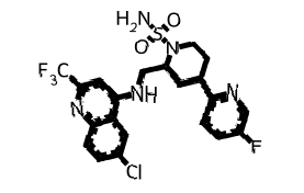 NS(=O)(=O)N1CCC(c2ccc(F)cn2)CC1CNc1cc(C(F)(F)F)nc2ccc(Cl)cc12